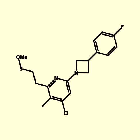 COSCCc1nc(N2CC(c3ccc(F)cc3)C2)cc(Cl)c1C